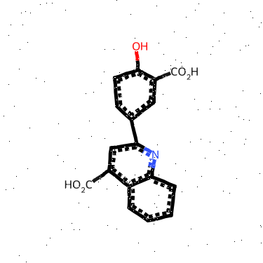 O=C(O)c1cc(-c2cc(C(=O)O)c3ccccc3n2)ccc1O